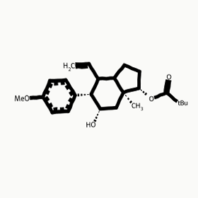 C=CC1C2CC[C@H](OC(=O)C(C)(C)C)[C@@]2(C)C[C@H](O)[C@@H]1c1ccc(OC)cc1